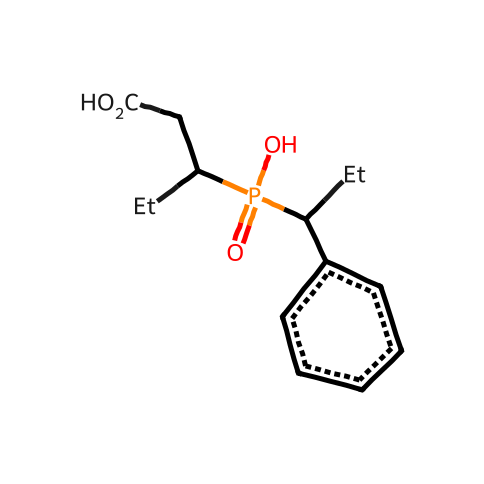 CCC(CC(=O)O)P(=O)(O)C(CC)c1ccccc1